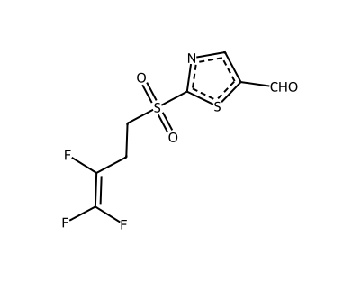 O=Cc1cnc(S(=O)(=O)CCC(F)=C(F)F)s1